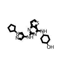 O[C@H]1CC[C@H](Nc2nc(Nc3cnn(C4CCCC4)c3)nc3ccsc23)CC1